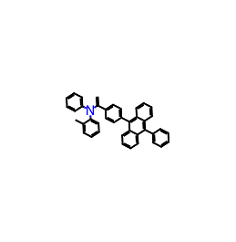 C=C(c1ccc(-c2c3ccccc3c(-c3ccccc3)c3ccccc23)cc1)N(c1ccccc1)c1ccccc1C